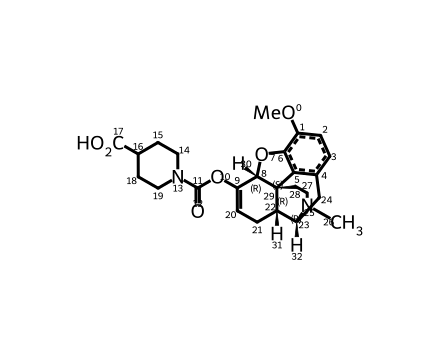 COc1ccc2c3c1O[C@H]1C(OC(=O)N4CCC(C(=O)O)CC4)=CC[C@H]4[C@@H](C2)N(C)CC[C@]314